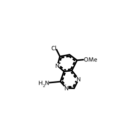 COc1cc(Cl)nc2c(N)ncnc12